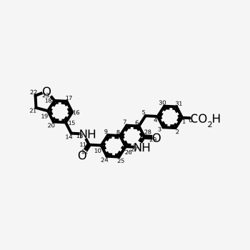 O=C(O)c1ccc(Cc2cc3cc(C(=O)NCc4ccc5c(c4)CCO5)ccc3[nH]c2=O)cc1